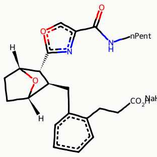 CCCCCNC(=O)c1coc([C@@H]2[C@@H](Cc3ccccc3CCC(=O)O)[C@@H]3CC[C@H]2O3)n1.[NaH]